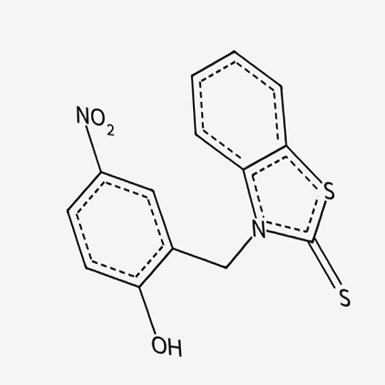 O=[N+]([O-])c1ccc(O)c(Cn2c(=S)sc3ccccc32)c1